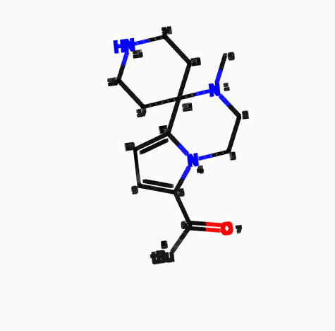 CN1CCn2c(C(=O)C(C)(C)C)ccc2C12CCNCC2